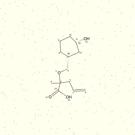 C=CCC(C)(OC[C@@H]1CCC[C@H](O)C1)C(=O)O